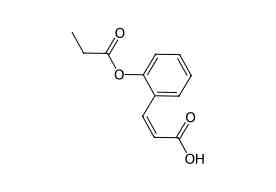 CCC(=O)Oc1ccccc1/C=C\C(=O)O